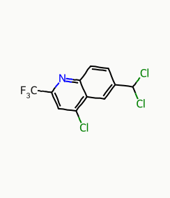 FC(F)(F)c1cc(Cl)c2cc(C(Cl)Cl)ccc2n1